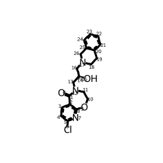 O=C1c2ccc(Cl)nc2OCCN1C[C@H](O)CN1CCc2ccccc2C1